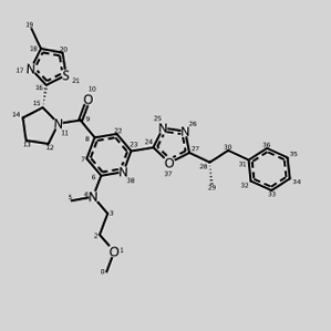 COCCN(C)c1cc(C(=O)N2CCC[C@@H]2c2nc(C)cs2)cc(-c2nnc([C@@H](C)Cc3ccccc3)o2)n1